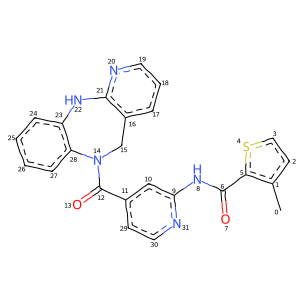 Cc1ccsc1C(=O)Nc1cc(C(=O)N2Cc3cccnc3Nc3ccccc32)ccn1